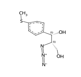 CSc1ccc([C@H](O)[C@H](CO)N=[N+]=[N-])cc1